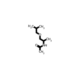 CC(=O)NC(C)COCC(C)C